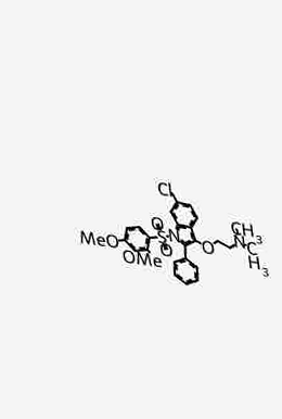 COc1ccc(S(=O)(=O)n2c(-c3ccccc3)c(OCCN(C)C)c3ccc(Cl)cc32)c(OC)c1